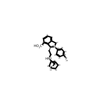 O=C(O)c1cccc2c1[C@H](CCNC1CN3CCC1CC3)N(c1ccc(F)cc1)C2